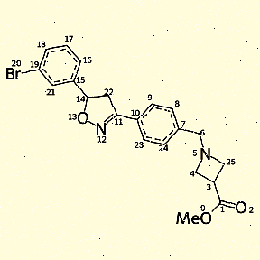 COC(=O)C1CN(Cc2ccc(C3=NOC(c4cccc(Br)c4)C3)cc2)C1